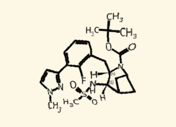 Cn1ccc(-c2cccc(C[C@H]3[C@@H](NS(C)(=O)=O)C4CC(C4)N3C(=O)OC(C)(C)C)c2F)n1